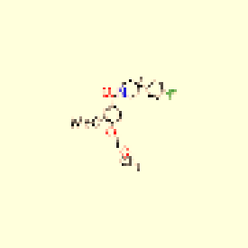 COc1cc(C(=O)N2CCC(C)(c3ccc(F)cc3)CC2)ccc1OCCOC(F)(F)F